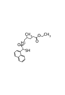 CCOC(=O)CCC(C)CC[PH](=O)C(S)c1cccc2ccccc12